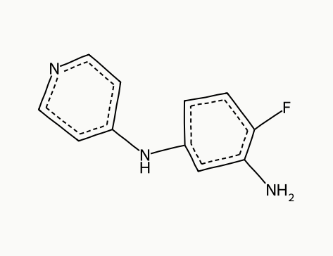 Nc1cc(Nc2ccncc2)ccc1F